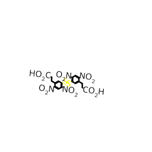 O=C(O)CCc1cc(SSc2cc(CCC(=O)O)c([N+](=O)[O-])cc2[N+](=O)[O-])c([N+](=O)[O-])cc1[N+](=O)[O-]